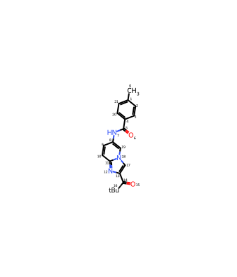 Cc1ccc(C(=O)Nc2ccc3nc(C(=O)C(C)(C)C)cn3c2)cc1